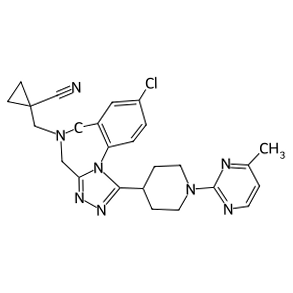 Cc1ccnc(N2CCC(c3nnc4n3-c3ccc(Cl)cc3CN(CC3(C#N)CC3)C4)CC2)n1